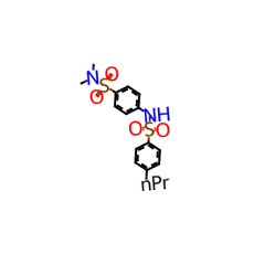 CCCc1ccc(S(=O)(=O)Nc2ccc(S(=O)(=O)N(C)C)cc2)cc1